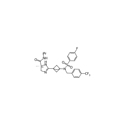 CC(C)NC(=O)[C@]1(C)CN=C(C23CC(N(Cc4ccc(C(F)(F)F)cc4)S(=O)(=O)c4ccc(F)cc4)(C2)C3)N1